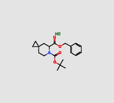 CC(C)(C)OC(=O)N1CCC2(CC2)CC1C(=O)OCc1ccccc1.Cl